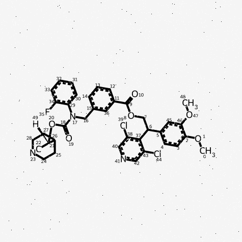 COc1ccc(C(COC(=O)c2cccc(CN(C(=O)O[C@H]3CN4CCC3CC4)c3ccccc3F)c2)c2c(Cl)cncc2Cl)cc1OC